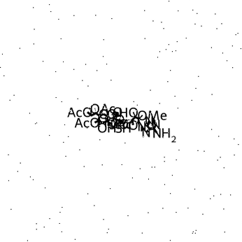 CO[C@@H]1[C@H](O)[C@@H](COP(=O)(S)OP(=O)(O)OC2OC([C@H](COC(C)=O)OC(C)=O)C(OC(C)=O)C(O)C2OC(C)=O)O[C@H]1n1cnc2c(N)ncnc21